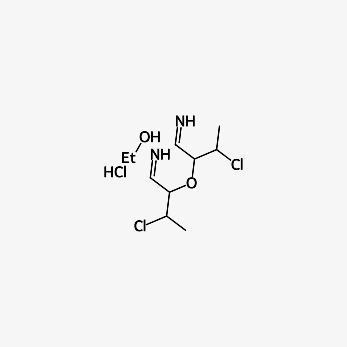 CC(Cl)C(C=N)OC(C=N)C(C)Cl.CCO.Cl